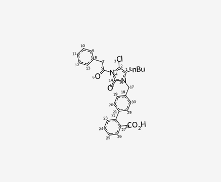 CCCCc1c(Cl)n(C(=O)Cc2ccccc2)c(=O)n1Cc1ccc(-c2ccccc2C(=O)O)cc1